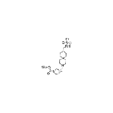 CCS(=O)(=O)NCC1CCC2(CC1)CCN(C[C@@H]1CCN(C(=O)OC(C)(C)C)C1)CC2